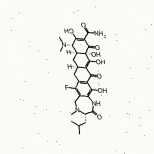 CC(C)C[C@H]1C(=O)Nc2c(O)c3c(c(F)c2CN1C)C[C@H]1C[C@H]2[C@H](N(C)C)C(O)=C(C(N)=O)C(=O)[C@@]2(O)C(O)=C1C3=O